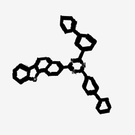 c1ccc(-c2ccc(-c3nc(-c4cccc(-c5ccccc5)c4)nc(-c4ccc5c(ccc6c7ccccc7oc56)c4)n3)cc2)cc1